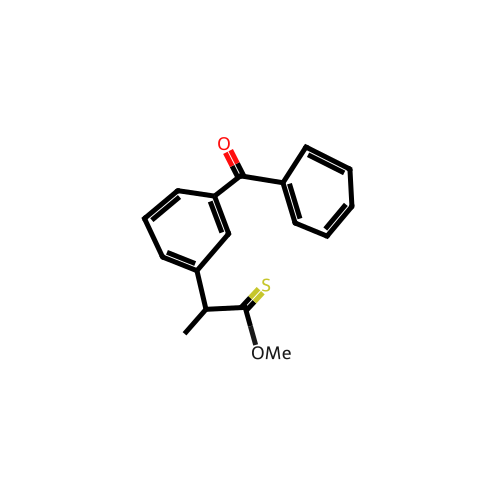 COC(=S)C(C)c1cccc(C(=O)c2ccccc2)c1